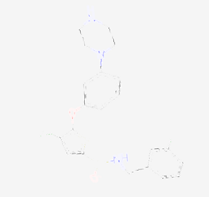 [O-][S+](NCc1cccc(Cl)c1)c1cc(Cl)c(Oc2cccc(N3CCNCC3)c2)s1